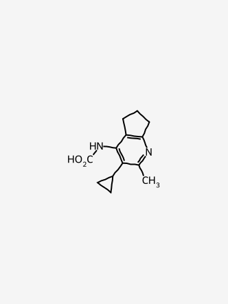 Cc1nc2c(c(NC(=O)O)c1C1CC1)CCC2